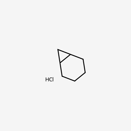 C1CCC2CC2C1.Cl